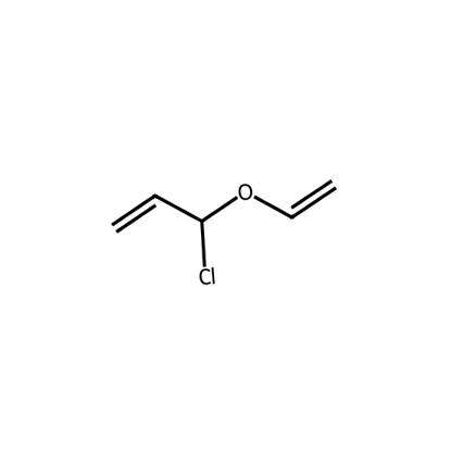 C=COC(Cl)C=C